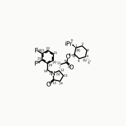 CC(C)[C@H]1CC[C@H](C)C[C@@H]1OC(=O)C[C@@H]1CCC(=O)N1Cc1cccc(F)c1F